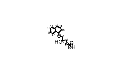 O=[N+](O)OCC(O)COc1cccc2ccccc12